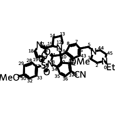 CCN1CCN(Cc2ccc(C3(N4CCCC4c4ncco4)C(=O)N(S(=O)(=O)c4ccc(OC)cc4)c4ccc(C#N)cc43)c(OC)c2)CC1